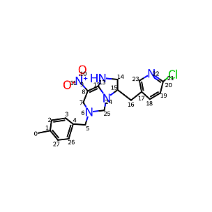 Cc1ccc(CN2CC([N+](=O)[O-])=C3NCC(Cc4ccc(Cl)nc4)N3C2)cc1